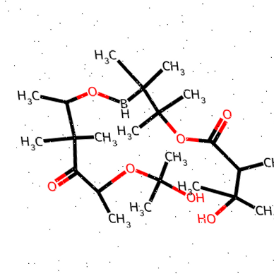 CC(OC(C)(C)O)C(=O)C(C)(C)C(C)OBC(C)(C)C(C)(C)OC(=O)C(C)C(C)(C)O